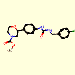 CC(C)(C)OC(=O)N1CCOC(c2ccc(NC(=O)NCc3ccc(F)cc3)cc2)C1